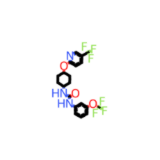 O=C(Nc1cccc(OC(F)(F)F)c1)NC1CCC(Oc2ccc(C(F)(F)F)cn2)CC1